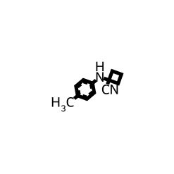 Cc1ccc(NC2(C#N)CCC2)cc1